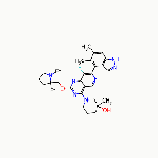 CCN1CCCC1(CC)COc1nc(N2CCCC(C)(O)C2)c2cnc(-c3c(C)c(C)cc4[nH]ncc34)c(F)c2n1